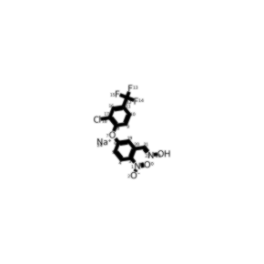 O=[N+]([O-])c1ccc(Oc2ccc(C(F)(F)F)cc2Cl)cc1C=NO.[Na+]